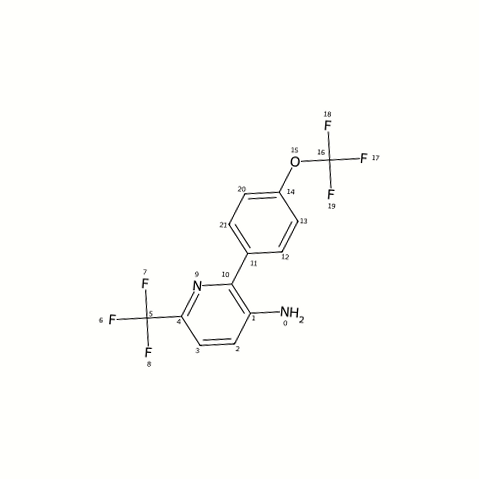 Nc1ccc(C(F)(F)F)nc1-c1ccc(OC(F)(F)F)cc1